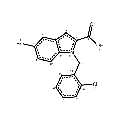 O=C(O)c1cc2cc(O)ccc2n1Cc1ccccc1Cl